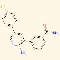 NC(=O)c1cccc(-c2cc(-c3ccc(S)cc3)cnc2N)c1